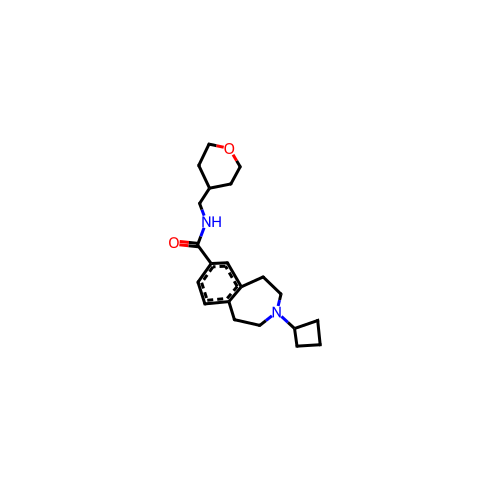 O=C(NCC1CCOCC1)c1ccc2c(c1)CCN(C1CCC1)CC2